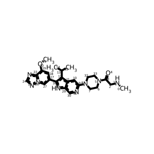 CNCC(=O)N1CCN(c2cc3c(C(C)C)c(-c4cc(OC)c5ncnn5c4)[nH]c3cn2)CC1